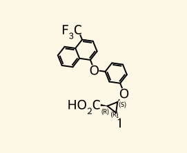 O=C(O)[C@@H]1[C@@H](I)[C@H]1Oc1cccc(Oc2ccc(C(F)(F)F)c3ccccc23)c1